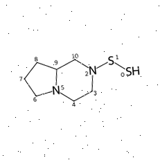 SSN1CCN2CCCC2C1